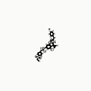 CCS(=O)(=O)c1ccc(CC(=O)Nc2cc(Cl)c(C3(c4noc(Cc5ccc(F)cc5)n4)CC3)c(Cl)c2)cc1